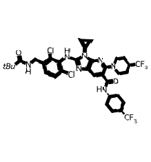 CC(C)(C)C(=O)NCc1ccc(Cl)c(Nc2nc3cc(C(=O)N[C@H]4CC[C@H](C(F)(F)F)CC4)c(N4CCC(C(F)(F)F)CC4)nc3n2C2CC2)c1Cl